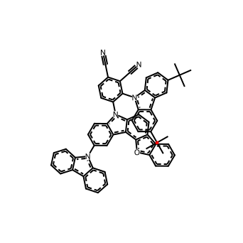 CC(C)(C)c1ccc2c(c1)c1cc(C(C)(C)C)ccc1n2-c1c(-n2c3ccc(-n4c5ccccc5c5ccccc54)cc3c3c4oc5ccccc5c4ccc32)ccc(C#N)c1C#N